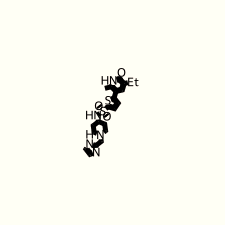 CCc1cc(-c2ccc(S(=O)(=O)NC3CCN(Cc4ncc[nH]4)CC3)s2)c(C)[nH]c1=O